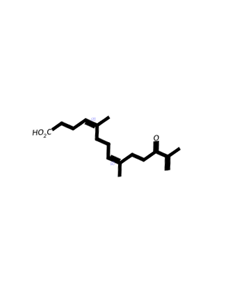 C=C(C)C(=O)CC/C(C)=C\CC/C(C)=C\CCC(=O)O